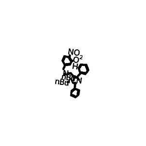 CCCCN(Cc1ccc([N+](=O)[O-])c(O)c1)Cc1c(-c2ccccc2)nc(-c2ccccc2)n1CCCC